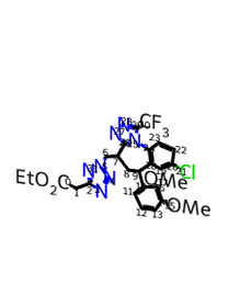 CCOC(=O)Cc1nnn(CC2CC(c3cccc(OC)c3OC)c3cc(Cl)ccc3-n3c2nnc3C(F)(F)F)n1